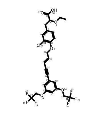 CCOC(Cc1ccc(OCC=CC#Cc2cc(OCC(F)(F)F)cc(OCC(F)(F)F)c2)c(Cl)c1)C(=O)O